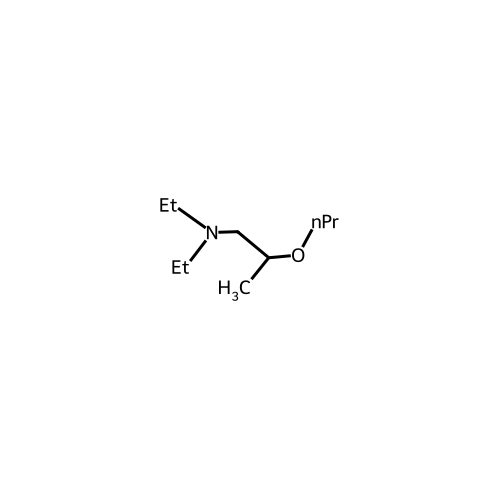 CCCOC(C)CN(CC)CC